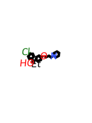 CCC(O)(c1ccc(Cl)cc1)c1ccc(OCCCN2CCCCC2)cc1